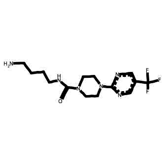 NCCCCNC(=O)N1CCN(c2ncc(C(F)(F)F)cn2)CC1